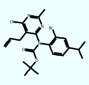 C=CCc1c(Cl)nc(C)nc1N(C(=O)OC(C)(C)C)c1ccc(C(C)C)cc1Br